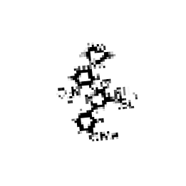 COc1cccc(-c2cc(N(C)C(C)(C)C)c(=O)n(-c3cc(N4CCOCC4)ccc3[N+](=O)[O-])n2)c1